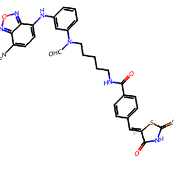 O=CN(CCCCCNC(=O)c1ccc(/C=C2\SC(=S)NC2=O)cc1)c1cccc(Nc2ccc([N+](=O)[O-])c3nonc23)c1